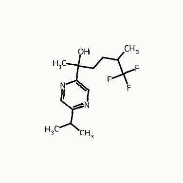 CC(C)c1cnc(C(C)(O)CCC(C)C(F)(F)F)cn1